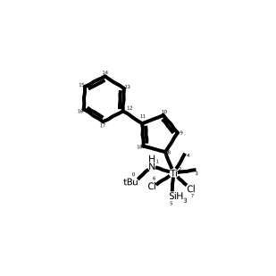 CC(C)(C)[NH][Ti]([CH3])([CH3])([SiH3])([Cl])([Cl])[CH]1C=CC(c2ccccc2)=C1